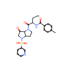 Cc1ccc(C(=O)NC(CC(C)C)C(=O)N2CCC3C2C(=O)CN3S(=O)(=O)c2cccnc2)cc1